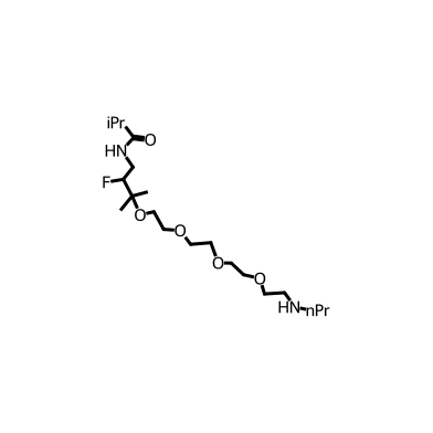 CCCNCCOCCOCCOCCOC(C)(C)C(F)CNC(=O)C(C)C